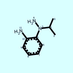 CC(C)N(N)c1ccccc1N